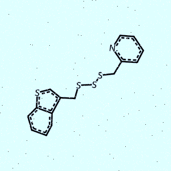 c1ccc(CSSSCc2csc3ccccc23)nc1